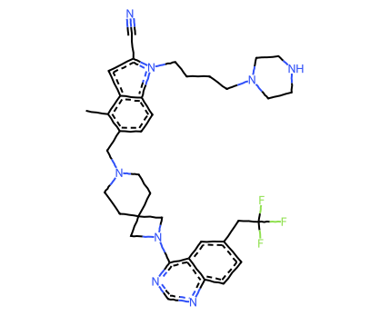 Cc1c(CN2CCC3(CC2)CN(c2ncnc4ccc(CC(F)(F)F)cc24)C3)ccc2c1cc(C#N)n2CCCCN1CCNCC1